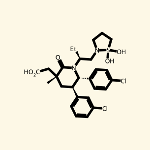 CC[C@@H](CN1CCCS1(O)O)N1C(=O)[C@@](C)(CC(=O)O)C[C@H](c2cccc(Cl)c2)[C@H]1c1ccc(Cl)cc1